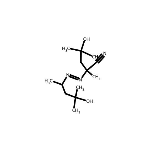 CC(CC(C)(C)O)N=NC(C)(C#N)CC(C)(C)O